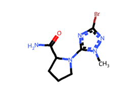 Cn1nc(Br)nc1N1CCCC1C(N)=O